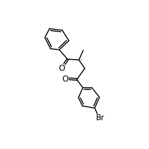 C[C](CC(=O)c1ccc(Br)cc1)C(=O)c1ccccc1